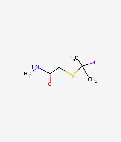 CNC(=O)CSC(C)(C)I